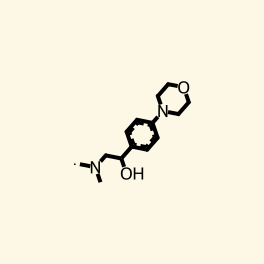 [CH2]N(C)CC(O)c1ccc(N2CCOCC2)cc1